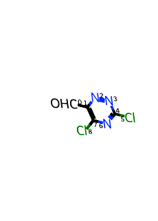 O=Cc1nnc(Cl)nc1Cl